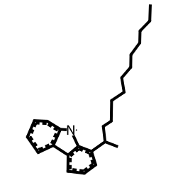 CCCCCCCCCCCC(C)c1cccc2c1[N]c1ccccc1-2